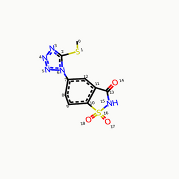 CSc1nnnn1-c1ccc2c(c1)C(=O)NS2(=O)=O